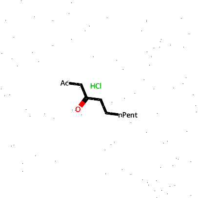 CCCCCCCC(=O)CC(C)=O.Cl